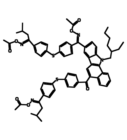 CCCCC(CC)Cn1c2ccc(/C(=N/OC(C)=O)c3ccc(Sc4ccc(/C(CC(C)C)=N/OC(C)=O)cc4)cc3)cc2c2cc(C(=O)c3ccc(Sc4ccc(/C(CC(C)C)=N/OC(C)=O)cc4)cc3)c3ccccc3c21